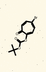 CC(C)(C)OC(=O)Oc1ccc(Br)ccc1=O